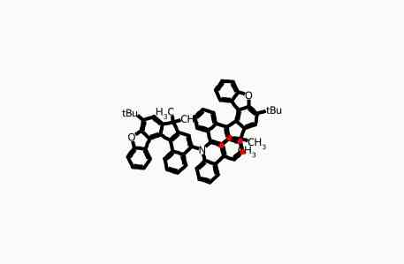 CC(C)(C)c1cc2c(c3c1oc1ccccc13)-c1c(cc(N(c3ccccc3-c3ccccc3)c3cc4c(c5ccccc35)-c3c(cc(C(C)(C)C)c5oc6ccccc6c35)C4(C)C)c3ccccc13)C2(C)C